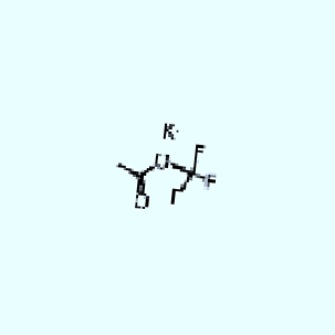 CC(=O)OC(F)(F)F.[K]